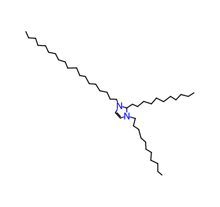 CCCCCCCCCCCCCCCCCCCN1C=CN(CCCCCCCCCCC)C1CCCCCCCCCCC